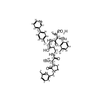 Cc1cccc(CN2CCN([C@H](C(=O)N[C@@H](Cc3ccccc3)C[C@@H](O)[C@H](Cc3ccc(-c4cccnc4)cc3)NC(=O)[C@@H](N(C)C(=O)O)C(C)(C)C)C(C)(C)C)C2=O)n1